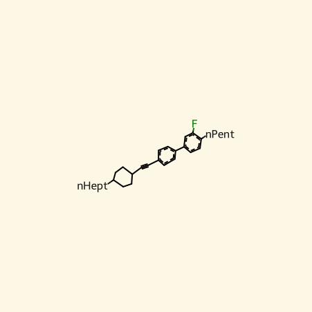 CCCCCCCC1CCC(C#Cc2ccc(-c3ccc(CCCCC)c(F)c3)cc2)CC1